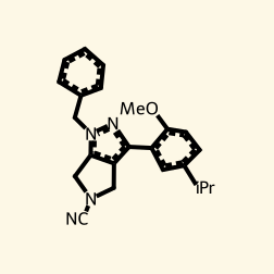 COc1ccc(C(C)C)cc1-c1nn(Cc2ccccc2)c2c1CN(C#N)C2